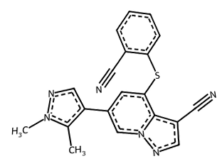 Cc1c(-c2cc(Sc3ccccc3C#N)c3c(C#N)cnn3c2)cnn1C